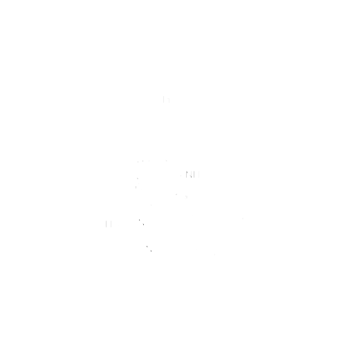 CC(C)CCC(=O)N[C@H]1C(=O)N(C)N=Cc2ccccc21